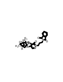 C[C@@H]1[C@H]2C[C@@H](C[C@H]1Nc1cnn(CCCN3C(=O)c4ccccc4C3=O)c(=O)c1Br)C2(C)C